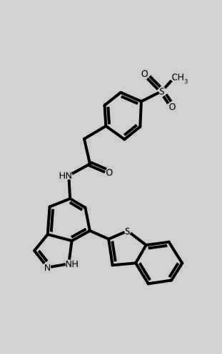 CS(=O)(=O)c1ccc(CC(=O)Nc2cc(-c3cc4ccccc4s3)c3[nH]ncc3c2)cc1